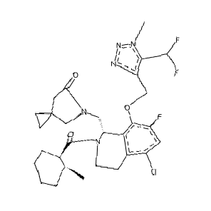 C[C@H]1CCCC[C@H]1C(=O)N1CCc2c(Cl)cc(F)c(OCc3nnn(C)c3C(F)F)c2[C@H]1CN1CC2(CC2)CC1=O